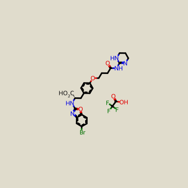 O=C(CCCOc1ccc(C[C@H](Nc2nc3cc(Br)ccc3o2)C(=O)O)cc1)NC1=NCCCN1.O=C(O)C(F)(F)F